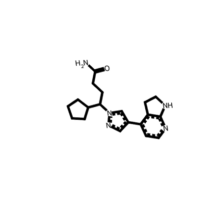 NC(=O)CCC(C1CCCC1)n1cc(-c2ccnc3c2CCN3)cn1